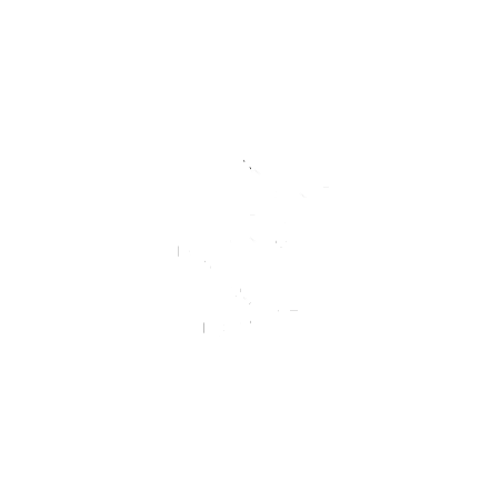 COC(=O)C(C)Cc1cc(SC)cc(F)c1Oc1cc(F)cc(C#N)c1